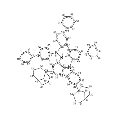 c1ccc(-c2ccc(N3B4c5c(cc(-c6ccccc6)cc5-n5c6ccc(C78CCCC(CCC7)C8)cc6c6cc(C78CCCC(CCC7)C8)cc4c65)-c4cc(-c5ccccc5)ccc43)cc2)cc1